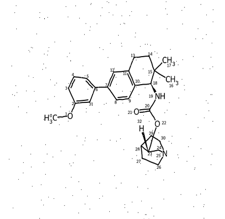 COc1cccc(-c2ccc3c(c2)CCC(C)(C)[C@H]3NC(=O)O[C@@H]2CN3CCC2CC3)c1